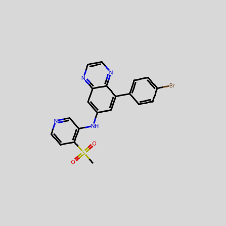 CS(=O)(=O)c1ccncc1Nc1cc(-c2ccc(Br)cc2)c2nccnc2c1